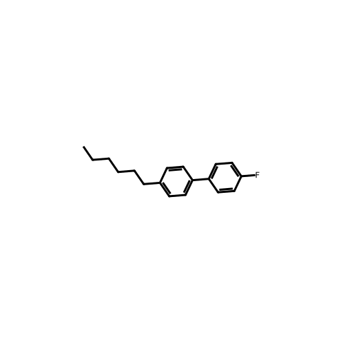 CCCCCCc1ccc(-c2ccc(F)cc2)cc1